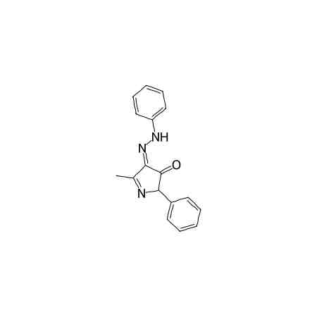 CC1=NC(c2ccccc2)C(=O)/C1=N\Nc1ccccc1